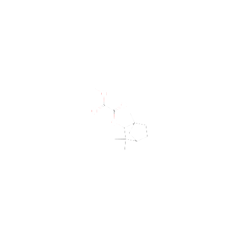 COC(=O)C(=O)OC1C2(C)CCC(C2)C1(C)C